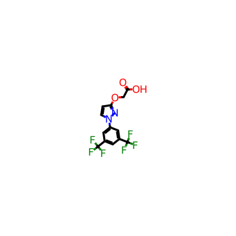 O=C(O)COc1ccn(-c2cc(C(F)(F)F)cc(C(F)(F)F)c2)n1